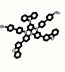 CC(C)(C)c1ccc(-c2ccc(N3c4cc(-c5ccc6oc7ccccc7c6c5)ccc4B4c5ccc(-c6ccc7oc8ccccc8c7c6)cc5N(c5ccc(-c6ccc(C(C)(C)C)cc6)cc5)c5cc(-n6c7ccccc7c7ccccc76)cc3c54)cc2)cc1